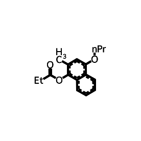 CCCOc1cc(C)c(OC(=O)CC)c2ccccc12